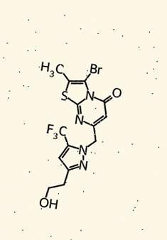 Cc1sc2nc(Cn3nc(CCO)cc3C(F)(F)F)cc(=O)n2c1Br